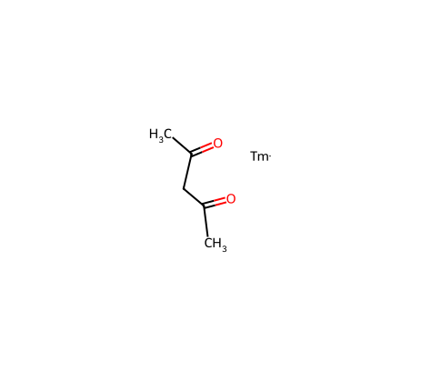 CC(=O)CC(C)=O.[Tm]